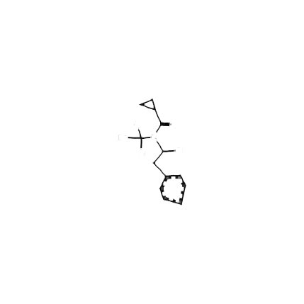 CCC(Cl)(Cl)N(C(=O)C1CC1)C(Cl)Cc1ccccc1